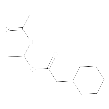 CC(=O)OC(C)OC(=O)CC1CCCCC1